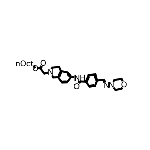 CCCCCCCCOC(=O)CN1CCc2cc(NC(=O)c3ccc(/C=N/N4CCOCC4)cc3)ccc2C1